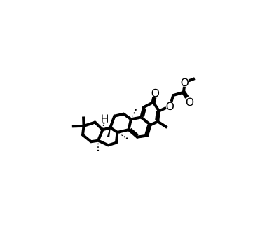 COC(=O)COC1=C(C)C2=CC=C3[C@@](C)(CC[C@@]4(C)[C@@H]5CC(C)(C)CC[C@]5(C)CC[C@]34C)C2=CC1=O